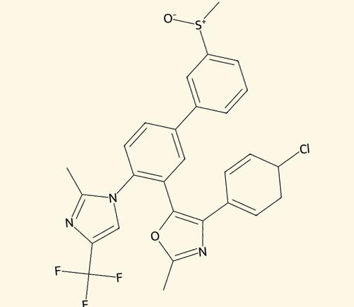 Cc1nc(C2=CCC(Cl)C=C2)c(-c2cc(-c3cccc([S+](C)[O-])c3)ccc2-n2cc(C(F)(F)F)nc2C)o1